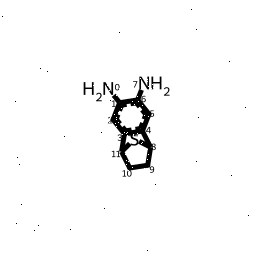 Nc1cc2c(cc1N)C1CCC2S1